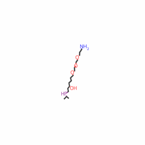 CC(C)PCCC(O)CCCCOCCOCCOCCCN